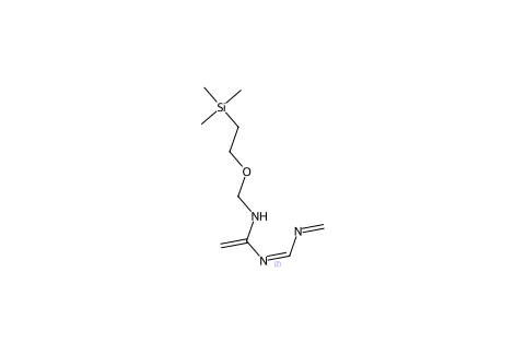 C=N/C=N\C(=C)NCOCC[Si](C)(C)C